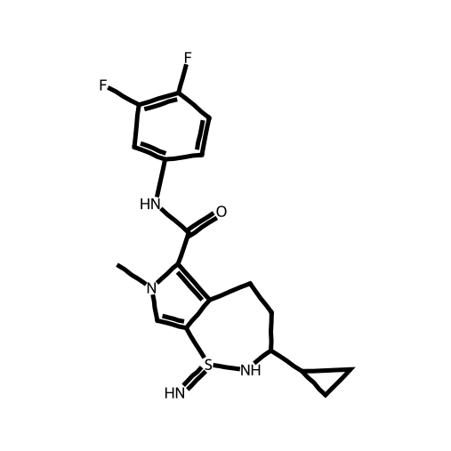 Cn1cc2c(c1C(=O)Nc1ccc(F)c(F)c1)CCC(C1CC1)NS2=N